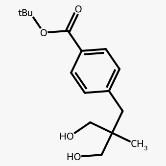 CC(CO)(CO)Cc1ccc(C(=O)OC(C)(C)C)cc1